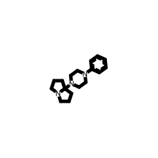 c1ccc(N2CCN(C34CCCN3CCC4)CC2)cc1